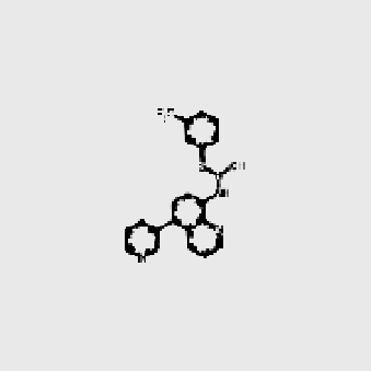 ON(Nc1ccc(-c2cccnc2)c2cccnc12)Sc1cccc(C(F)(F)F)c1